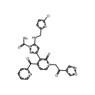 CC(C)(C)C(=O)n1nc(-c2c(C(=O)c3ccccn3)ccn(CC(=O)c3cnoc3)c2=O)cc1NCc1ccc(Cl)s1